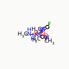 CCNCCNC(=O)CN(CC(=O)N(C)N1Cc2ccc(F)cc2C1)c1cc2onc(C)c2cc1C